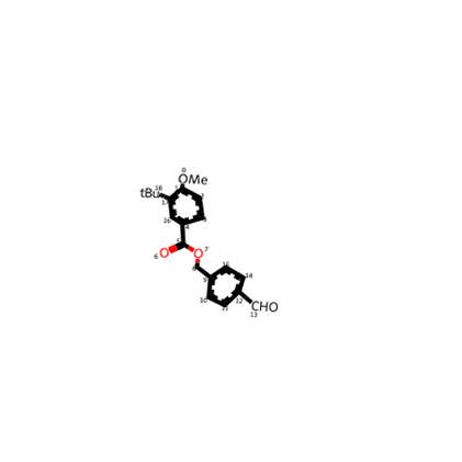 COc1ccc(C(=O)OCc2ccc(C=O)cc2)cc1C(C)(C)C